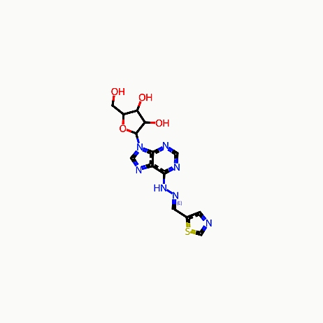 OCC1OC(n2cnc3c(N/N=C/c4cncs4)ncnc32)C(O)C1O